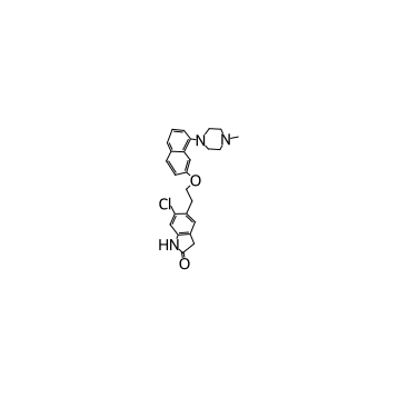 CN1CCN(c2cccc3ccc(OCCc4cc5c(cc4Cl)NC(=O)C5)cc23)CC1